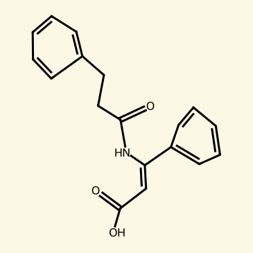 O=C(O)/C=C(\NC(=O)CCc1ccccc1)c1ccccc1